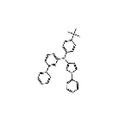 CC(C)(C)c1ccc(N(c2cccc(-c3ccccc3)n2)c2ccn(-c3ccccc3)n2)cc1